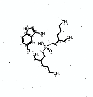 CCCCC(CC)COP(=O)(O)OCC(CC)CCCC.Oc1c[nH]c2ccc(Cl)cc12